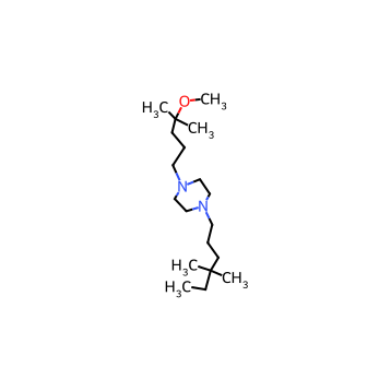 CCC(C)(C)CCCN1CCN(CCCC(C)(C)OC)CC1